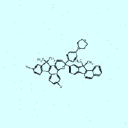 CC1(C)c2cc(F)ccc2-c2c1c1c(c3cc(F)ccc23)OC(c2ccc(N3CCOCC3)cc2)(c2ccc3c(c2)C(C)(C)c2c-3ccc3ccccc23)C=C1